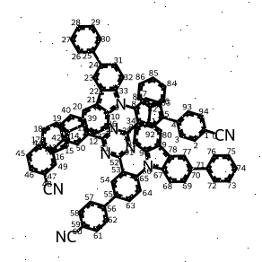 N#Cc1ccc(-c2ccc(-n3c4ccc(-c5ccccc5)cc4c4cc(-c5ccccc5)ccc43)c(-c3nc(-c4cccc(-c5cccc(C#N)c5)c4)nc(-c4cc(-c5ccc(C#N)cc5)ccc4-n4c5ccc(-c6ccccc6)cc5c5cc(-c6ccccc6)ccc54)n3)c2)cc1